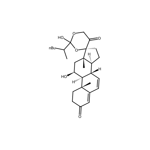 CCCCC(C)C1(O)OCC(=O)[C@]2(CC[C@H]3[C@@H]4C=CC5=CC(=O)CC[C@]5(C)[C@H]4[C@@H](O)C[C@@]32C)O1